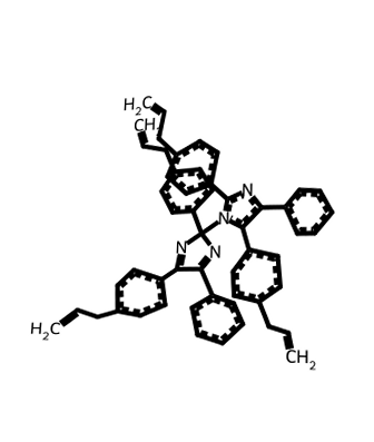 C=CCc1ccc(C2=NC(c3ccc(CC=C)cc3)(n3c(-c4ccc(CC=C)cc4)nc(-c4ccccc4)c3-c3ccc(CC=C)cc3)N=C2c2ccccc2)cc1